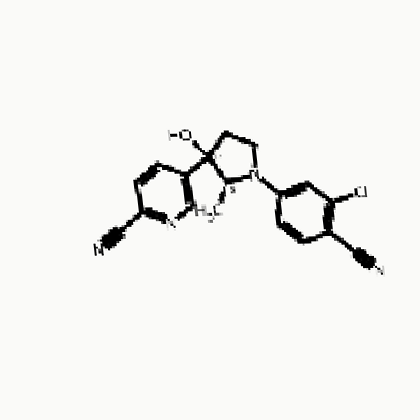 C[C@@H]1N(c2ccc(C#N)c(Cl)c2)CC[C@@]1(O)c1ccc(C#N)nc1